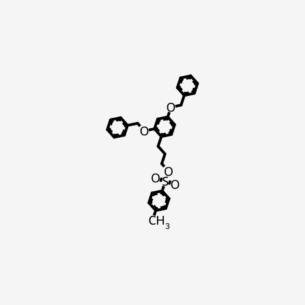 Cc1ccc(S(=O)(=O)OCCCc2ccc(OCc3ccccc3)cc2OCc2ccccc2)cc1